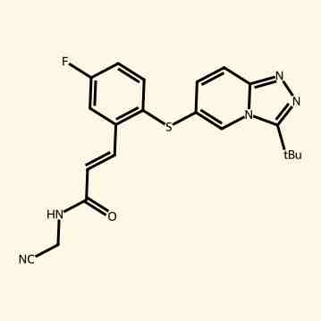 CC(C)(C)c1nnc2ccc(Sc3ccc(F)cc3C=CC(=O)NCC#N)cn12